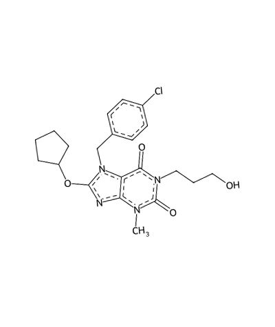 Cn1c(=O)n(CCCO)c(=O)c2c1nc(OC1CCCC1)n2Cc1ccc(Cl)cc1